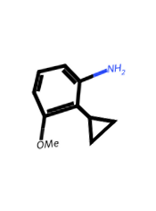 COc1cccc(N)c1C1CC1